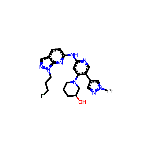 CC(C)n1cc(-c2cnc(Nc3ccc4cnn(CCCF)c4n3)cc2N2CCC[C@H](O)C2)cn1